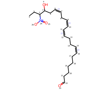 CCC(C(O)C/C=C\C/C=C\C=C/CC/C=C\CCCCC[C]=O)[N+](=O)[O-]